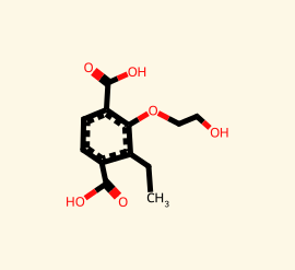 CCc1c(C(=O)O)ccc(C(=O)O)c1OCCO